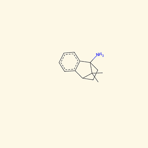 CC1(C)C2CCC1(N)c1ccccc12